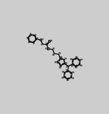 O=C(COc1ccccc1)OCCCc1cc(C(c2ccccc2)c2ccccc2)ns1